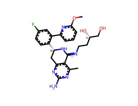 COc1cccc(-c2cc(F)ccc2[C@H]2Cc3nc(N)nc(C)c3/C(=N/CC[C@H](O)CO)N2)n1